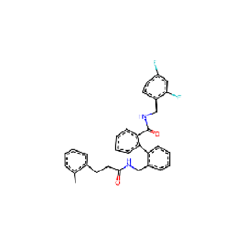 Cc1ccccc1CCC(=O)NCc1ccccc1-c1ccccc1C(=O)NCc1ccc(F)cc1F